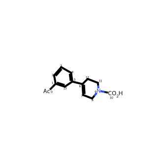 CC(=O)c1cccc(C2=CCN(C(=O)O)CC2)c1